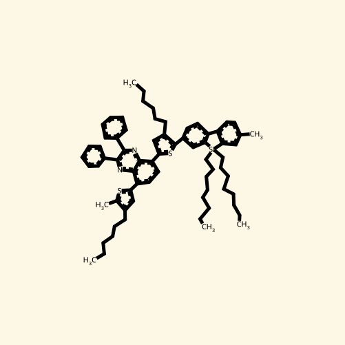 CCCCCCCC[Si]1(CCCCCCCC)c2cc(C)ccc2-c2ccc(-c3sc(-c4ccc(-c5cc(CCCCCC)c(C)s5)c5nc(-c6ccccc6)c(-c6ccccc6)nc45)cc3CCCCCC)cc21